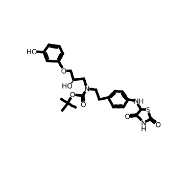 CC(C)(C)OC(=O)N(CCc1ccc(NC2SC(=O)NC2=O)cc1)C[C@H](O)COc1cccc(O)c1